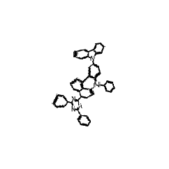 c1ccc(-c2nc(-c3ccccc3)nc(-c3ccc4c5c(cccc35)-c3cc(-n5c6ccccc6c6ccccc65)ccc3N4c3ccccc3)n2)cc1